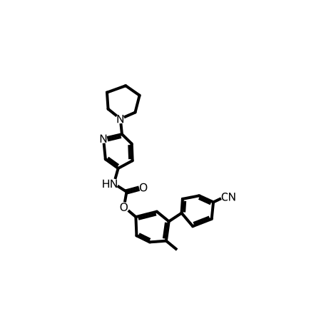 Cc1ccc(OC(=O)Nc2ccc(N3CCCCC3)nc2)cc1-c1ccc(C#N)cc1